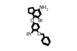 CC(C)c1cc(Oc2c(Br)cc(N)c3c2CCC3)ccc1OCc1ccccc1